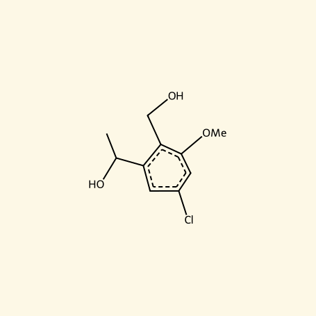 COc1cc(Cl)cc(C(C)O)c1CO